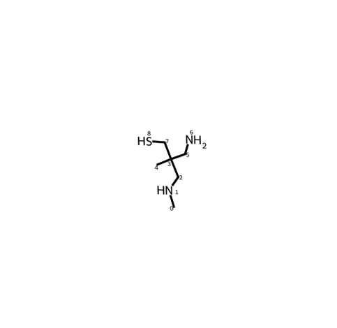 CNCC(C)(CN)CS